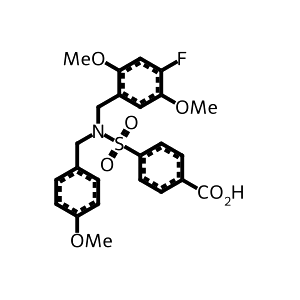 COc1ccc(CN(Cc2cc(OC)c(F)cc2OC)S(=O)(=O)c2ccc(C(=O)O)cc2)cc1